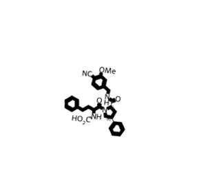 COc1cc(CNC(=O)[C@@H]2C[C@H](c3ccccc3)CN2C(=O)C(CCc2ccccc2)NC(=O)O)ccc1C#N